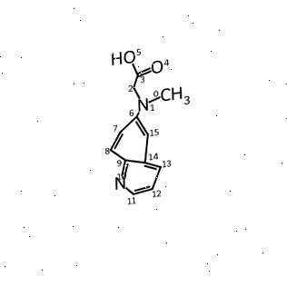 CN(CC(=O)O)c1ccc2ncccc2c1